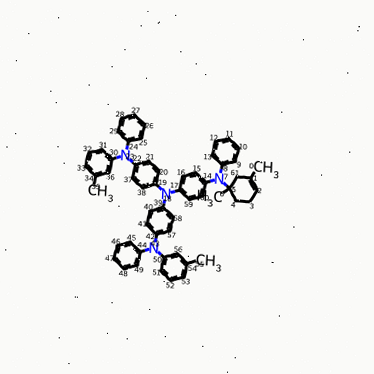 CC1=CCCC(C)(N(c2ccccc2)c2ccc(N(c3ccc(N(c4ccccc4)c4cccc(C)c4)cc3)c3ccc(N(c4ccccc4)c4cccc(C)c4)cc3)cc2)C1